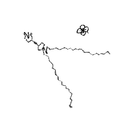 CCCCCCCCCCCCCCCCCCCCN(CCCCCCCCCCCCCCCCCCCC)c1ccc(C#Cc2cc[n+](C)cc2)cc1.COS(=O)(=O)[O-]